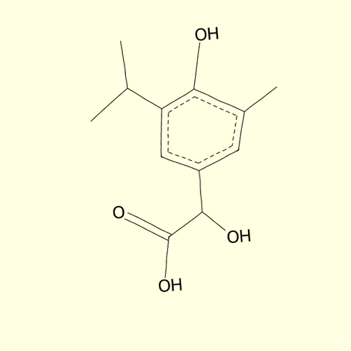 Cc1cc(C(O)C(=O)O)cc(C(C)C)c1O